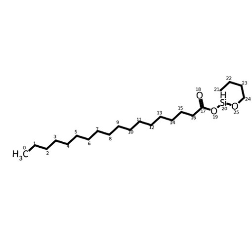 CCCCCCCCCCCCCCCCCC(=O)O[SiH]1CCCCO1